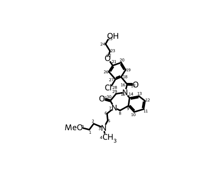 COCCN(C)CCN1Cc2ccccc2N(C(=O)c2ccc(OCCO)cc2Cl)CC1=O